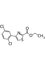 CCOC(=O)c1nc(-c2cc(Cl)ccc2Cl)cs1